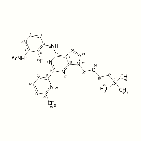 CC(=O)Nc1nccc(Nc2nc(-c3cccc(C(F)(F)F)n3)nc3c2ccn3COCC[Si](C)(C)C)c1F